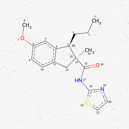 CCC[C@@H]1c2cc(OC)ccc2C[C@]1(C)C(=O)Nc1nccs1